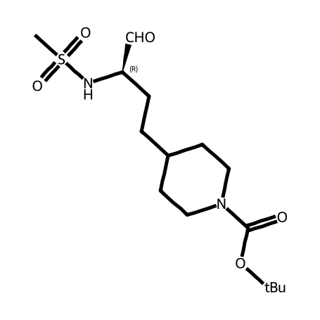 CC(C)(C)OC(=O)N1CCC(CC[C@H](C=O)NS(C)(=O)=O)CC1